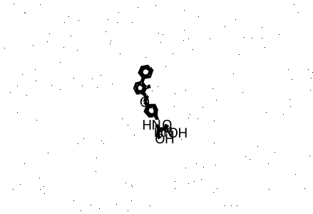 Cc1c(COc2ccc(CNC(CO)C(=O)NO)cc2)cccc1-c1ccccc1